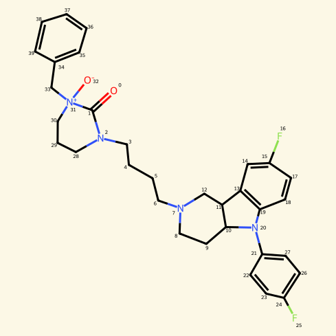 O=C1N(CCCCN2CCC3C(C2)c2cc(F)ccc2N3c2ccc(F)cc2)CCC[N+]1([O-])Cc1ccccc1